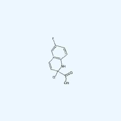 O=C(O)C1(Cl)C=Cc2cc(F)ccc2N1